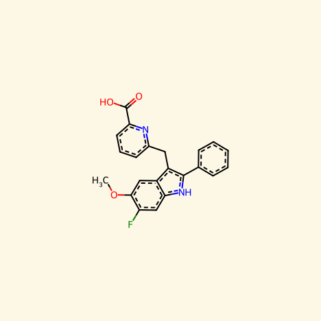 COc1cc2c(Cc3cccc(C(=O)O)n3)c(-c3ccccc3)[nH]c2cc1F